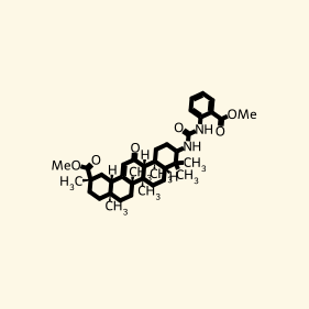 COC(=O)c1ccccc1NC(=O)NC1CC[C@]2(C)[C@H]3C(=O)C=C4[C@H]5C[C@@](C)(C(=O)OC)CC[C@]5(C)CC[C@@]4(C)[C@]3(C)CC[C@H]2C1(C)C